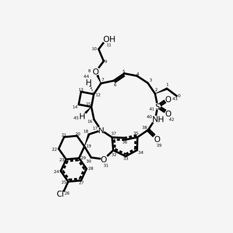 CC[C@@H]1CC/C=C/[C@H](OCCO)[C@@H]2CC[C@H]2CN2C[C@@]3(CCCc4cc(Cl)ccc43)COc3ccc(cc32)C(=O)NS1(=O)=O